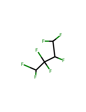 F[C](F)C(F)C(F)(F)C(F)F